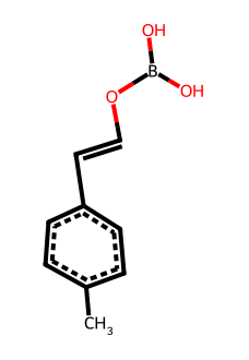 Cc1ccc(C=COB(O)O)cc1